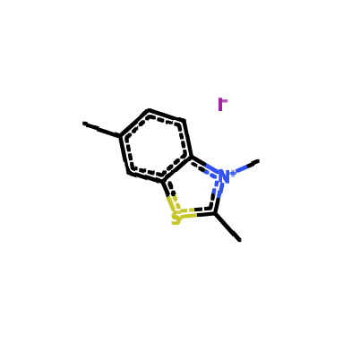 Cc1ccc2c(c1)sc(C)[n+]2C.[I-]